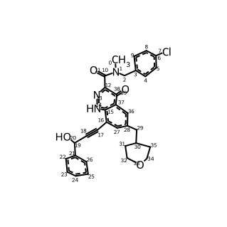 CN(Cc1ccc(Cl)cc1)C(=O)c1n[nH]c2c(C#CC(O)c3ccccc3)cc(CC3CCOCC3)cc2c1=O